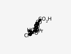 CC(C)C1=C2[C@H]3CC[C@@H]4[C@@]5(C)CC[C@H](OC(=O)CC(C)(C)C(=O)O)C(C)(C)C5CC[C@@]4(C)[C@]3(C)CC[C@@]2([C@H](O)CN(CCN(C)C)Cc2ccc(Cl)cc2)CC1=O